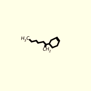 C=C(CCCCC)C1CC=CCC1